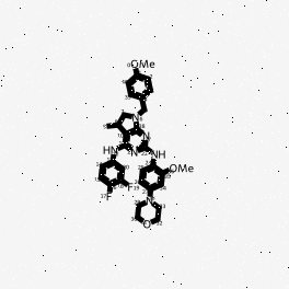 COc1ccc(CN2CC(C)c3c(Nc4ccc(F)c(F)c4)nc(Nc4ccc(N5CCOCC5)cc4OC)nc32)cc1